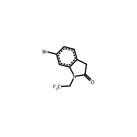 O=C1Cc2ccc(Br)cc2N1CC(F)(F)F